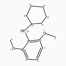 COc1cccc(OC)c1PC1CCCCC1